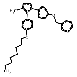 CCCCCCCCOc1ccc(-n2c(C)ccc2-c2ccc(OCc3ccccc3)cc2)cc1